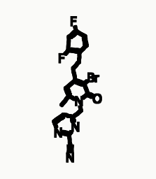 Cc1cc(CCc2ccc(F)cc2F)c(Br)c(=O)n1Cc1ccnc(C#N)n1